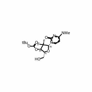 CNc1ccn([C@@H]2O[C@H](CO)[C@@H](OC(=O)OC(C)(C)C)C2(F)F)c(=O)n1